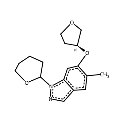 Cc1cc2cnn(C3CCCCO3)c2cc1O[C@H]1CCOC1